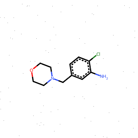 Nc1cc(CN2CCOCC2)ccc1Cl